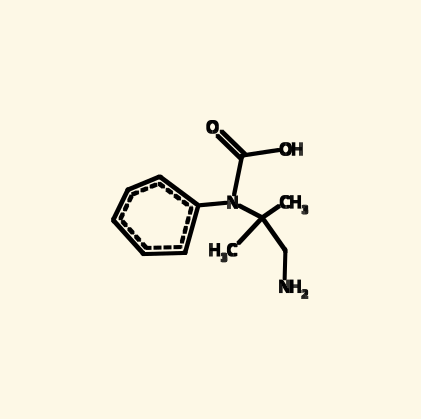 CC(C)(CN)N(C(=O)O)c1ccccc1